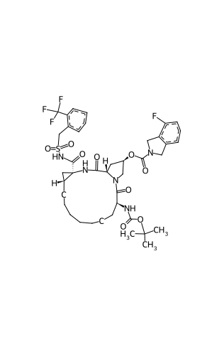 CC(C)(C)OC(=O)N[C@H]1CCCCCCC[C@@H]2C[C@@]2(C(=O)NS(=O)(=O)Cc2ccccc2C(F)(F)F)NC(=O)[C@@H]2C[C@@H](OC(=O)N3Cc4cccc(F)c4C3)CN2C1=O